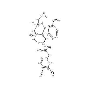 COc1cccc([C@@]23CC[N@+](C)(CC4CC4)CC2(O)CC[C@@H](NC(=O)Cc2ccc(Cl)c(Cl)c2)C3)c1